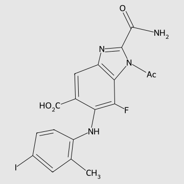 CC(=O)n1c(C(N)=O)nc2cc(C(=O)O)c(Nc3ccc(I)cc3C)c(F)c21